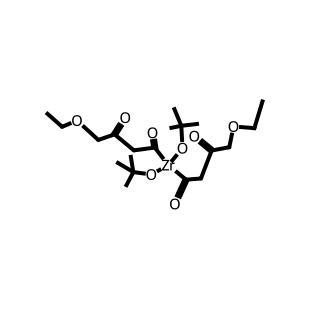 CCOCC(=O)C[C](=O)[Zr]([O]C(C)(C)C)([O]C(C)(C)C)[C](=O)CC(=O)COCC